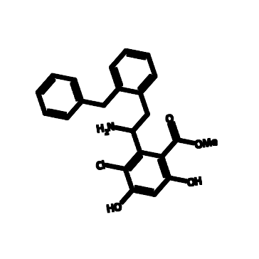 COC(=O)c1c(O)cc(O)c(Cl)c1C(N)Cc1ccccc1Cc1ccccc1